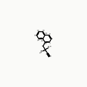 C#CC(F)(F)Cc1cccc2ccccc12